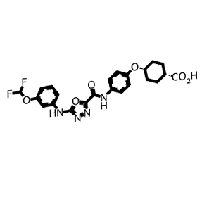 O=C(Nc1ccc(O[C@H]2CC[C@@H](C(=O)O)CC2)cc1)c1nnc(Nc2cccc(OC(F)F)c2)o1